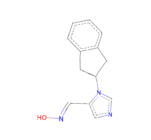 O/N=C/c1cncn1C1Cc2ccccc2C1